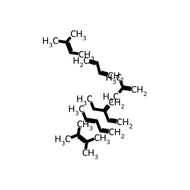 C=C(C)C.C=CC(=C)CC.C=CC=C.C=CC=CC.CC(C)=C(C)C.CC=C(C)C